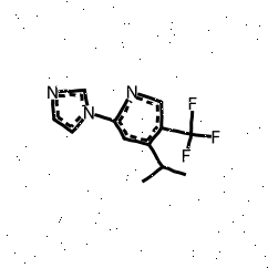 CC(C)c1cc(-n2ccnc2)ncc1C(F)(F)F